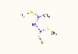 CSN(C)NN(CBr)SC